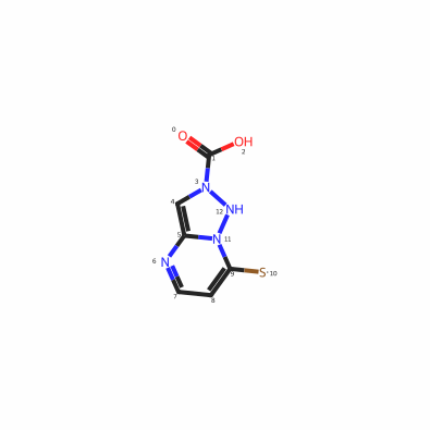 O=C(O)N1C=C2N=CC=C([S])N2N1